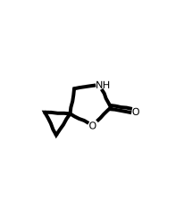 O=C1NCC2(CC2)O1